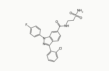 NS(=O)(=O)CCNC(=O)c1ccc2c(-c3ccccc3Cl)nn(-c3ccc(F)cc3)c2c1